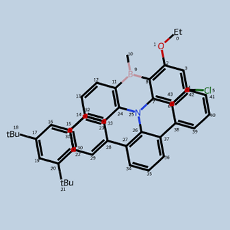 CCOc1cc(Cl)cc2c1B(C)c1ccc(-c3cc(C(C)(C)C)cc(C(C)(C)C)c3)cc1N2c1c(-c2ccccc2)cccc1-c1ccccc1